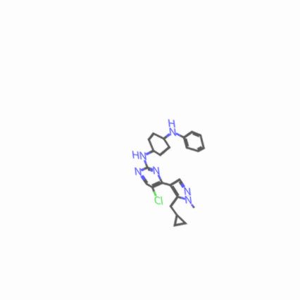 Cn1ncc(-c2nc(NC3CCC(Nc4ccccc4)CC3)ncc2Cl)c1CC1CC1